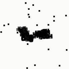 O=C(NCCCCCS(=O)(=O)c1ccc(Cl)c(COC2(c3cnccc3-c3ccccc3OC3CC3)CC2)c1)N[C@@H](CO)[C@@H](O)[C@H](O)[C@H](O)CO